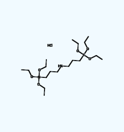 CCO[Si](CCCNCCC[Si](OCC)(OCC)OCC)(OCC)OCC.Cl